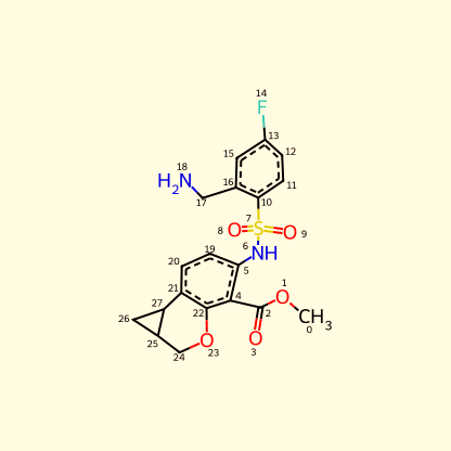 COC(=O)c1c(NS(=O)(=O)c2ccc(F)cc2CN)ccc2c1OCC1CC21